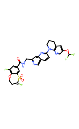 O=C(NCc1cc2nc(N3CCCc4cc(OC(F)F)cnc43)ccc2cn1)c1cc(F)c2c(c1)S(=O)(=O)[C@@H](F)CCO2